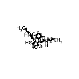 CCCCNC(=O)CN(CC(=O)O)C1CCCCC1N(CC(=O)O)CC(=O)NCCCC